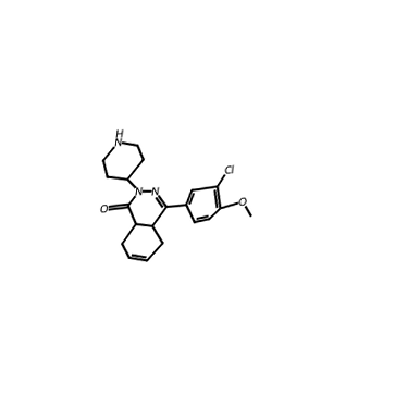 COc1ccc(C2=NN(C3CCNCC3)C(=O)C3CC=CCC23)cc1Cl